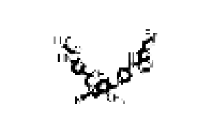 C=CC(=O)Nc1ccc(C(C)Cn2c(C#N)cc3c(C)c(CN4CCC(Nc5ncnc6sc(CC(F)(F)F)cc56)CC4)ccc32)cn1